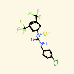 O=C(NCc1ccc(Cl)cc1)N(S)c1cc(C(F)(F)F)cc(C(F)(F)F)c1